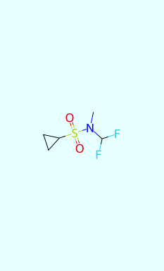 CN(C(F)F)S(=O)(=O)C1CC1